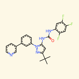 CC(C)(C)c1cc(NC(=O)Nc2cc(F)c(F)cc2F)n(-c2cccc(-c3cccnc3)c2)n1